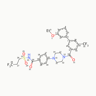 CCOc1cccc(-c2cc(C(=O)N3CCN(c4ccc(C(=O)NS(=O)(=O)CCC(F)(F)F)cc4)CC3)cc(C(F)(F)F)c2)c1